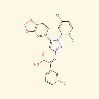 O=C(O)C(=Cc1cc(-c2ccc3c(c2)OCO3)n(-c2cc(Cl)ccc2Cl)n1)c1cccc(Cl)c1